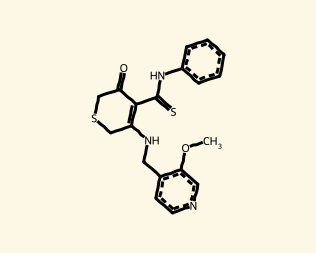 COc1cnccc1CNC1=C(C(=S)Nc2ccccc2)C(=O)CSC1